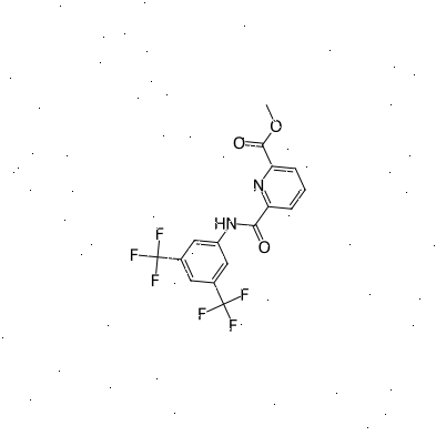 COC(=O)c1cccc(C(=O)Nc2cc(C(F)(F)F)cc(C(F)(F)F)c2)n1